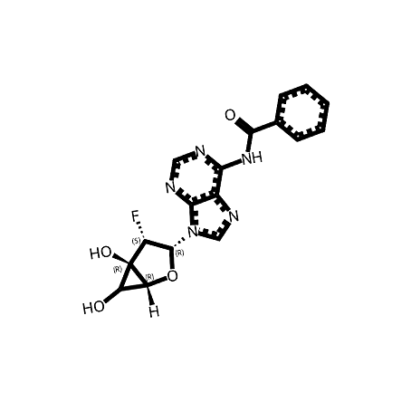 O=C(Nc1ncnc2c1ncn2[C@@H]1O[C@@H]2C(O)[C@]2(O)[C@@H]1F)c1ccccc1